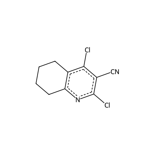 N#Cc1c(Cl)nc2c(c1Cl)CCCC2